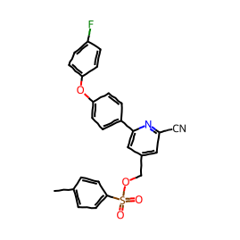 Cc1ccc(S(=O)(=O)OCc2cc(C#N)nc(-c3ccc(Oc4ccc(F)cc4)cc3)c2)cc1